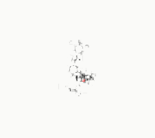 C[C@@H](O)[C@H](O)COC[C@@]1(O)C2CC[C@H]1C[C@H](S(=O)(=O)c1cc(C(=O)Nc3cc(F)c(F)c(F)c3)ccc1Cl)C2